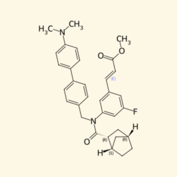 COC(=O)/C=C/c1cc(F)cc(N(Cc2ccc(-c3ccc(N(C)C)cc3)cc2)C(=O)[C@@H]2C[C@@H]3CC[C@H]2C3)c1